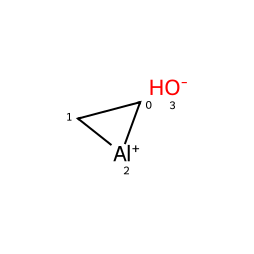 [CH2]1[CH2][Al+]1.[OH-]